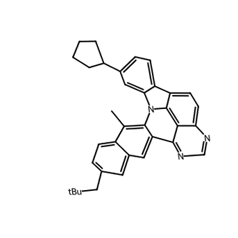 Cc1c2ccc(CC(C)(C)C)cc2cc2c3ncnc4ccc5c6ccc(C7CCCC7)cc6n(c12)c5c43